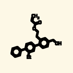 C=CC(=O)OCCc1cc(CO)ccc1-c1ccc(-c2ccccc2)c(CC)c1